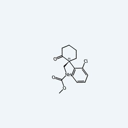 COC(=O)NC[C@]1(c2ccccc2Cl)CCCCC1=O